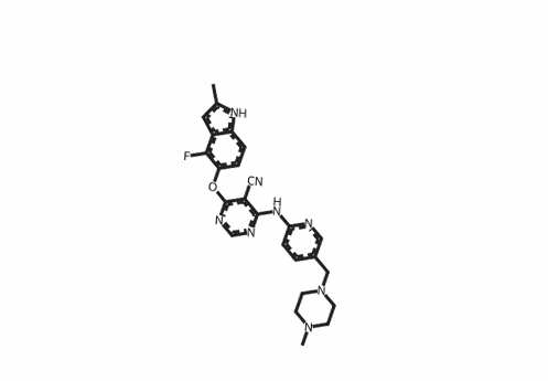 Cc1cc2c(F)c(Oc3ncnc(Nc4ccc(CN5CCN(C)CC5)cn4)c3C#N)ccc2[nH]1